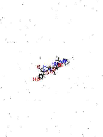 CCC(C)[C@H](NC(=O)[C@H]1CCCCN1C)C(=O)N[C@H](C[C@@H](OC(C)=O)c1nc(C(=O)N[C@@H](Cc2ccc(O)cc2)C[C@H](C)C=O)cs1)C(C)C